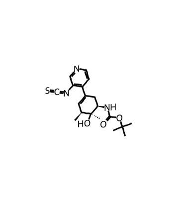 C[C@H]1C=C(c2ccncc2N=C=S)C[C@@H](NC(=O)OC(C)(C)C)[C@@]1(C)O